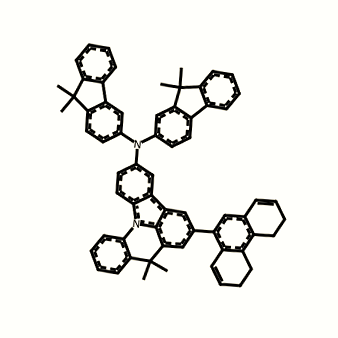 CC1(C)c2ccccc2-c2cc(N(c3ccc4c(c3)C(C)(C)c3ccccc3-4)c3ccc4c(c3)c3cc(-c5cc6c(c7c5C=CCC7)CCC=C6)cc5c3n4-c3ccccc3C5(C)C)ccc21